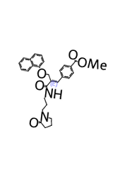 COC(=O)c1ccc(/C=C(\COc2cccc3ccccc23)C(=O)NCCCN2CCCC2=O)cc1